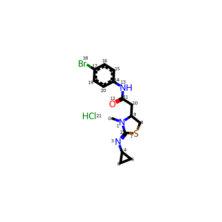 CN1/C(=N/C2CC2)SCC1CC(=O)Nc1ccc(Br)cc1.Cl